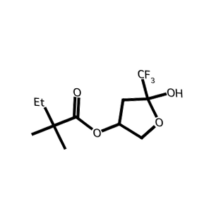 CCC(C)(C)C(=O)OC1COC(O)(C(F)(F)F)C1